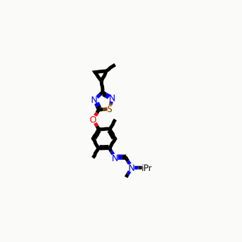 Cc1cc(Oc2nc(C3CC3C)ns2)c(C)cc1N=CN(C)C(C)C